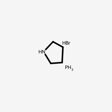 Br.C1CCNC1.P